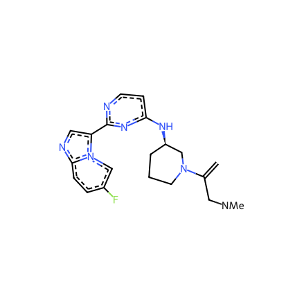 C=C(CNC)N1CCC[C@@H](Nc2ccnc(-c3cnc4ccc(F)cn34)n2)C1